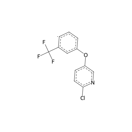 FC(F)(F)c1[c]ccc(Oc2ccc(Cl)nc2)c1